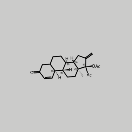 C=C1C[C@H]2[C@@H]3CCC4CC(=O)C=C[C@@H]4[C@H]3CC[C@]2(C)[C@@]1(OC(C)=O)C(C)=O